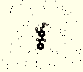 CCOc1ccc(C(=O)C(=O)c2ccccc2)cc1N=O